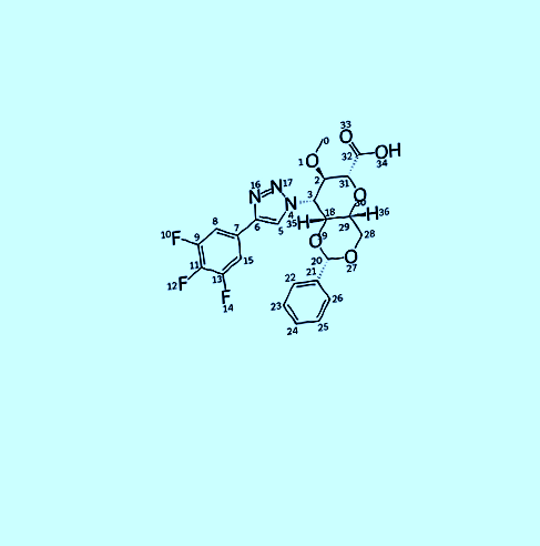 CO[C@@H]1[C@@H](n2cc(-c3cc(F)c(F)c(F)c3)nn2)[C@H]2O[C@@H](c3ccccc3)OC[C@H]2O[C@H]1C(=O)O